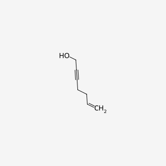 C=CCCC#CCO